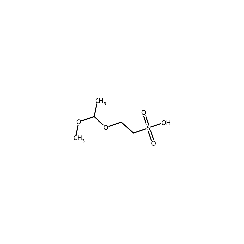 COC(C)OCCS(=O)(=O)O